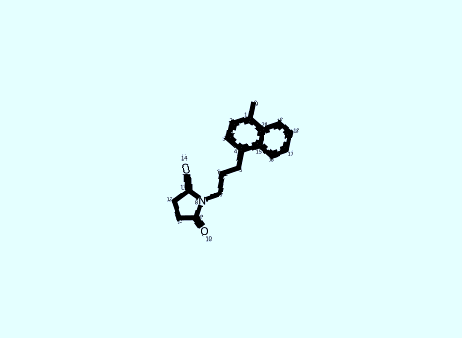 Cc1ccc(CCCN2C(=O)CCC2=O)c2ccccc12